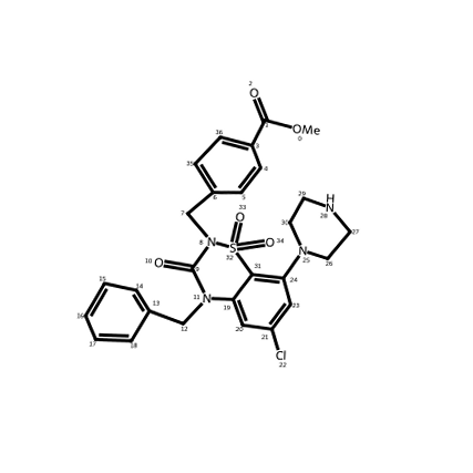 COC(=O)c1ccc(CN2C(=O)N(Cc3ccccc3)c3cc(Cl)cc(N4CCNCC4)c3S2(=O)=O)cc1